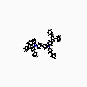 c1ccc(-c2ccc(N(c3ccc(-c4ccc(N(c5cc(-c6ccccc6)cc(-c6ccccc6)c5)c5cccc6ccccc56)cc4)cc3)c3ccc(-c4cc(-c5ccccc5)cc(-c5ccccc5)c4)cc3)cc2)cc1